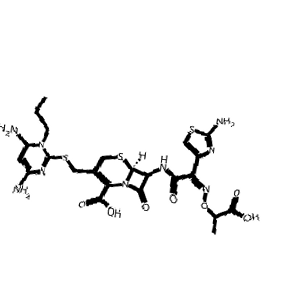 CCCN1C(SCC2=C(C(=O)O)N3C(=O)C(NC(=O)/C(=N\OC(C)C(=O)O)c4csc(N)n4)[C@@H]3SC2)=NC(N)=CC1N